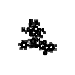 [2H]C1[C@@H](COP(C)N(C(C)C)C(C)C)C[C@@H](Cc2ccccc2)[C@H]1NC(=O)CN1C(=O)c2ccccc2C1=O